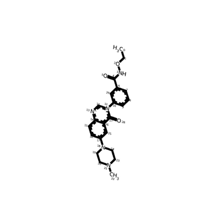 CCONC(=O)c1cccc(-n2cnc3ccc(N4CCN(C)CC4)cc3c2=O)c1